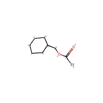 CCC(=O)O[CH]C1CCCCC1